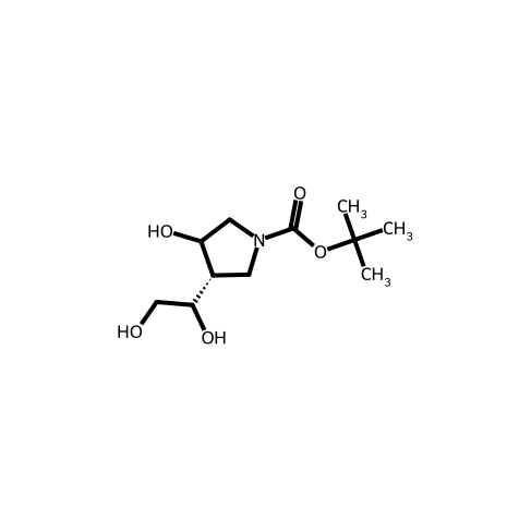 CC(C)(C)OC(=O)N1CC(O)[C@@H](C(O)CO)C1